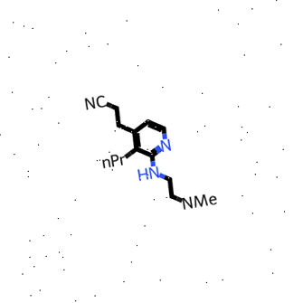 CCCc1c(CCC#N)ccnc1NCCNC